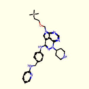 C[Si](C)(C)CCOCn1cc2c3c(ncnc31)N(C1CCNCC1)N=C2Nc1ccc(CNc2ccccn2)cc1